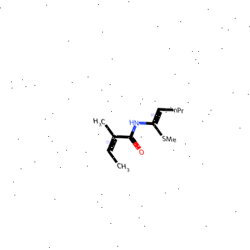 C/C=C(/C)C(=O)N/C(=C/CCC)SC